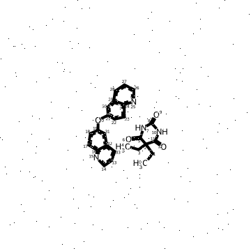 CCC1(CC)C(=O)NC(=O)NC1=O.c1cnc2ccc(Oc3ccc4ncccc4c3)cc2c1